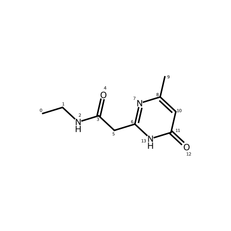 CCNC(=O)Cc1nc(C)cc(=O)[nH]1